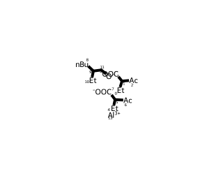 CCC(C(C)=O)C(=O)[O-].CCC(C(C)=O)C(=O)[O-].CCCCC(CC)C[O-].[Al+3]